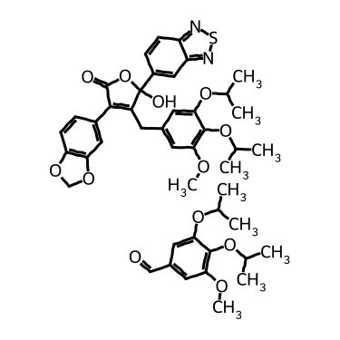 COc1cc(C=O)cc(OC(C)C)c1OC(C)C.COc1cc(CC2=C(c3ccc4c(c3)OCO4)C(=O)OC2(O)c2ccc3nsnc3c2)cc(OC(C)C)c1OC(C)C